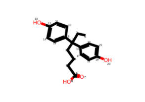 CCC(CCCC(=O)O)(c1ccc(O)cc1)c1ccc(O)cc1